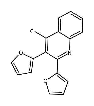 Clc1c(-c2ccco2)c(-c2ccco2)nc2ccccc12